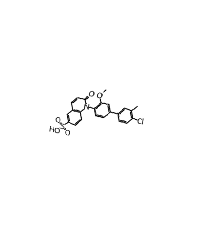 COc1cc(-c2ccc(Cl)c(C)c2)ccc1-n1c(=O)ccc2cc(S(=O)(=O)O)ccc21